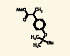 COC(=O)C(C)c1ccc(O[Si](C)(C)C(C)(C)C)cc1